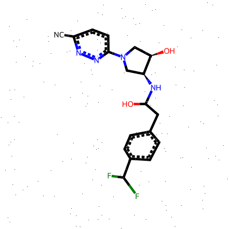 N#Cc1ccc(N2C[C@@H](O)[C@@H](NC(O)Cc3ccc(C(F)F)cc3)C2)nn1